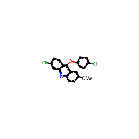 COc1ccc2nc3cc(Cl)ccc3c(Oc3ccc(Cl)cc3)c2c1